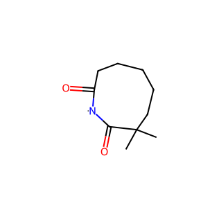 CC1(C)CCCCCC(=O)[N]C1=O